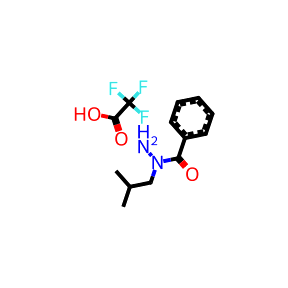 CC(C)CN(N)C(=O)c1ccccc1.O=C(O)C(F)(F)F